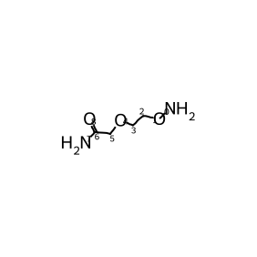 NOCCOCC(N)=O